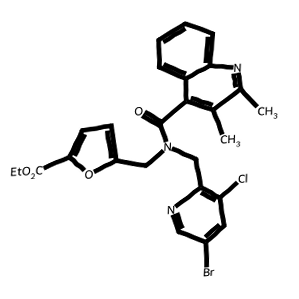 CCOC(=O)c1ccc(CN(Cc2ncc(Br)cc2Cl)C(=O)c2c(C)c(C)nc3ccccc23)o1